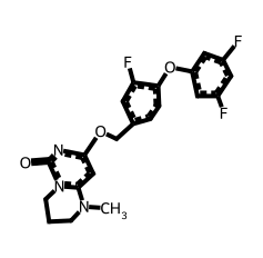 CN1CCCn2c1cc(OCc1ccc(Oc3cc(F)cc(F)c3)c(F)c1)nc2=O